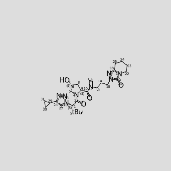 CC(C)(C)[C@@H](C(=O)N1C[C@H](O)C[C@H]1C(=O)NCCCn1nc2n(c1=O)CCCC2)n1cc(C2CC2)nn1